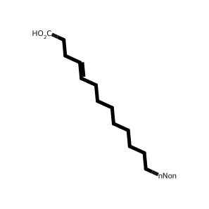 CCCCCCCCCCCCCCCCCC=CCCC(=O)O